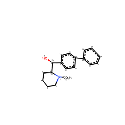 O=C(O)N1CCCC[C@H]1[C@@H](O)c1ccc(-c2ccccc2)cc1